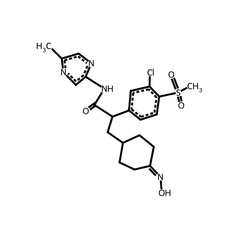 Cc1cnc(NC(=O)C(CC2CCC(=NO)CC2)c2ccc(S(C)(=O)=O)c(Cl)c2)cn1